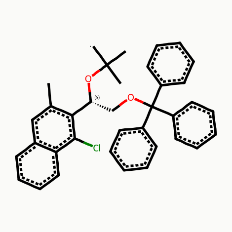 [CH2]C(C)(C)O[C@H](COC(c1ccccc1)(c1ccccc1)c1ccccc1)c1c(C)cc2ccccc2c1Cl